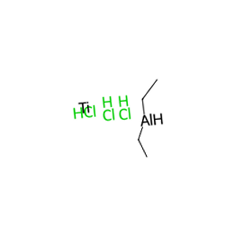 C[CH2][AlH][CH2]C.Cl.Cl.Cl.[Ti]